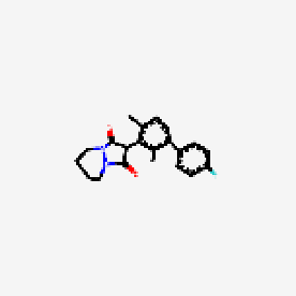 Cc1ccc(-c2ccc(F)cc2)c(C)c1C1C(=O)N2CCCCN2C1=O